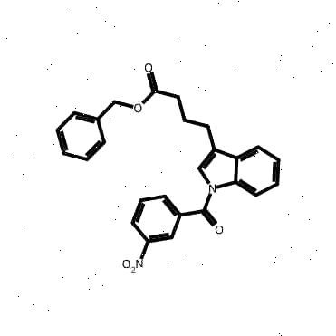 O=C(CCCc1cn(C(=O)c2cccc([N+](=O)[O-])c2)c2ccccc12)OCc1ccccc1